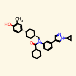 Cc1cc([C@H]2CC[C@H](CN(C(=O)C3CCCCC3)c3cccc(-c4cnn(C5CC5)c4)c3)CC2)ccc1O